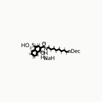 CCCCCCCCCCCCCCCCCCNC(=O)c1cc(S(=O)(=O)O)c2ccccc2c1O.[NaH]